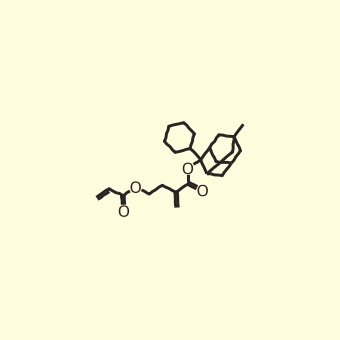 C=CC(=O)OCCC(=C)C(=O)OC1(C2CCCCC2)C2CC3CC1CC(C)(C3)C2